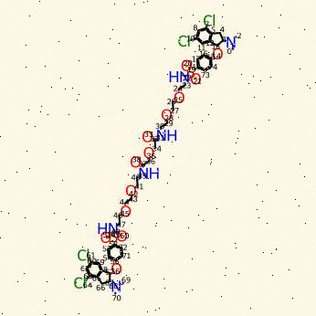 CN(C)[C@@H]1Cc2c(Cl)cc(Cl)cc2[C@@H]1Oc1ccc(S(=O)(=O)NCCOCCOCCNC(=O)COCC(=O)NCCOCCOCCNS(=O)(=O)c2ccc(O[C@H]3c4cc(Cl)cc(Cl)c4C[C@H]3N(C)C)cc2)cc1